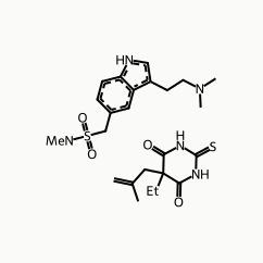 C=C(C)CC1(CC)C(=O)NC(=S)NC1=O.CNS(=O)(=O)Cc1ccc2[nH]cc(CCN(C)C)c2c1